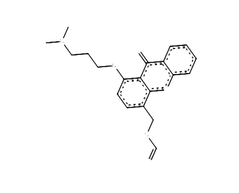 CN(C)CCCNc1ccc(CNC=O)c2sc3ccccc3c(=O)c12